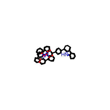 C1=c2c([nH]c3ccccc23)=C(c2ccc(-c3ccc(N(c4ccccc4-c4ccccc4)c4ccccc4-c4ccccc4-n4c5ccccc5c5ccccc54)cc3)cc2)CC1